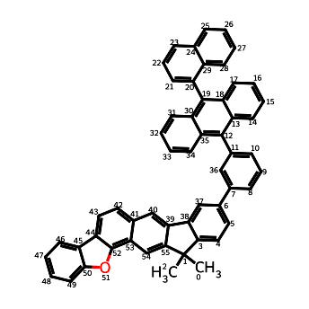 CC1(C)c2ccc(-c3cccc(-c4c5ccccc5c(-c5cccc6ccccc56)c5ccccc45)c3)cc2-c2cc3ccc4c5ccccc5oc4c3cc21